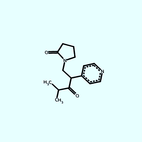 CC(C)C(=O)C(CN1CCCC1=O)c1ccncc1